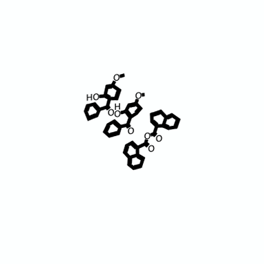 COc1ccc(C(=O)c2ccccc2)c(O)c1.COc1ccc(C(=O)c2ccccc2)c(O)c1.O=C(OC(=O)c1cccc2ccccc12)c1cccc2ccccc12